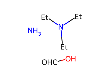 CCN(CC)CC.N.O=CO